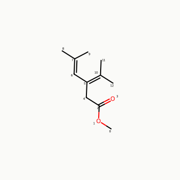 COC(=O)CC(C=C(C)C)=C(C)C